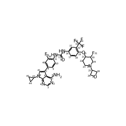 Nc1ncnc2c1c(-c1ccc(NC(=O)Nc3ccc(OC4CCN(C5COC5)CC4F)c(C(F)(F)F)c3)c(F)c1)cn2C1CC1